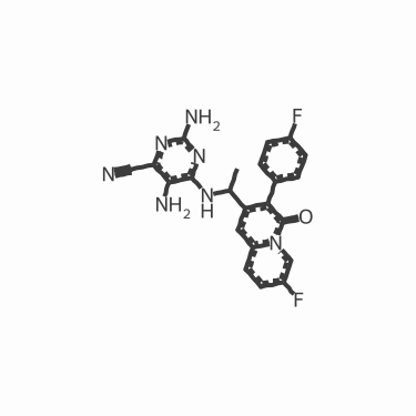 CC(Nc1nc(N)nc(C#N)c1N)c1cc2ccc(F)cn2c(=O)c1-c1ccc(F)cc1